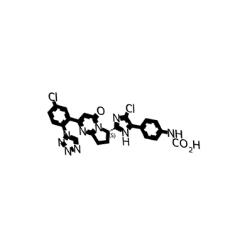 O=C(O)Nc1ccc(-c2[nH]c([C@@H]3CCc4nc(-c5cc(Cl)ccc5-n5cnnn5)cc(=O)n43)nc2Cl)cc1